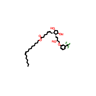 CCCCCC/C=C\CCCCCCCCOC(=O)CCC/C=C\C[C@@H]1[C@@H](/C=C/[C@@H](O)COc2cccc(C(F)(F)F)c2)[C@H](O)C[C@@H]1O